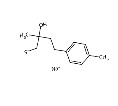 Cc1ccc(CCC(C)(O)C[S-])cc1.[Na+]